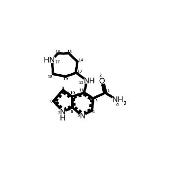 NC(=O)c1cnc2[nH]ccc2c1NC1CCCNCC1